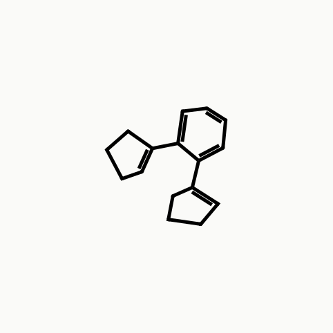 C1=C(c2ccccc2C2=CCCC2)CCC1